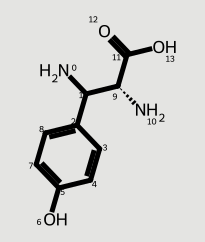 NC(c1ccc(O)cc1)[C@@H](N)C(=O)O